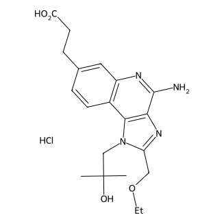 CCOCc1nc2c(N)nc3cc(CCC(=O)O)ccc3c2n1CC(C)(C)O.Cl